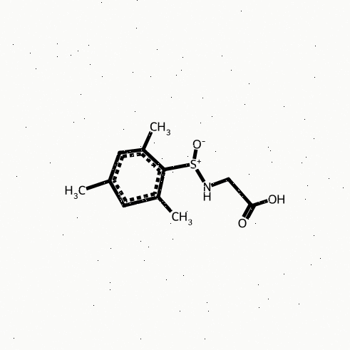 Cc1cc(C)c([S+]([O-])NCC(=O)O)c(C)c1